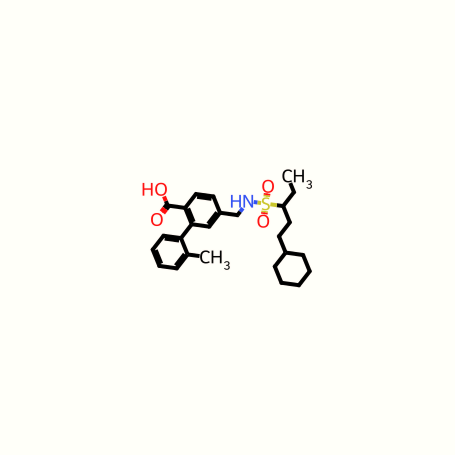 CCC(CCC1CCCCC1)S(=O)(=O)NCc1ccc(C(=O)O)c(-c2ccccc2C)c1